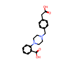 O=C(O)Cc1ccc(CN2CCN(c3ccccc3C(=O)O)CC2)cc1